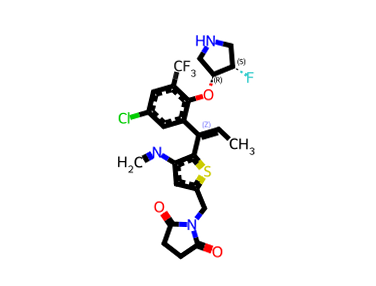 C=Nc1cc(CN2C(=O)CCC2=O)sc1/C(=C\C)c1cc(Cl)cc(C(F)(F)F)c1O[C@@H]1CNC[C@@H]1F